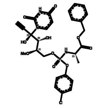 C#C[C@@](O)([C@H](O)[C@@H](COP(=O)(N[C@@H](C)C(=O)OCc1ccccc1)Oc1ccc(Cl)cc1)OC)n1ccc(=O)[nH]c1=O